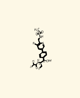 CS(=O)(=O)NCc1ncc(-c2ccc([C@@H](O)[C@@H](CF)NC(=O)C(Cl)Cl)cc2)cc1F